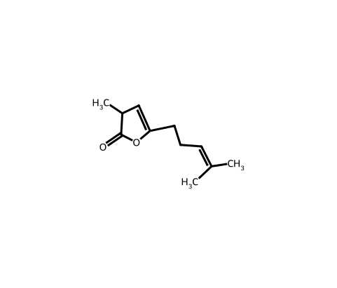 CC(C)=CCCC1=CC(C)C(=O)O1